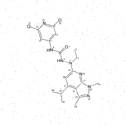 CCN(NC(=O)Nc1cc(Cl)nc(Cl)c1)c1cc(C(C)C)c2c(C)nn(C)c2n1